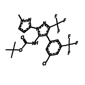 Cn1ccc(-n2nc(C(F)(F)F)c(-c3cc(Cl)cc(C(F)(F)F)c3)c2NC(=O)OC(C)(C)C)n1